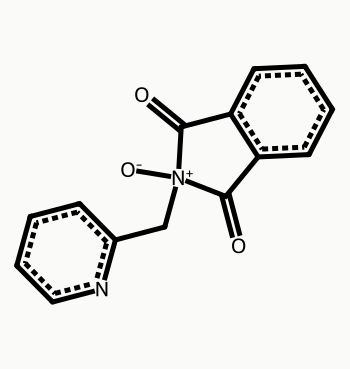 O=C1c2ccccc2C(=O)[N+]1([O-])Cc1ccccn1